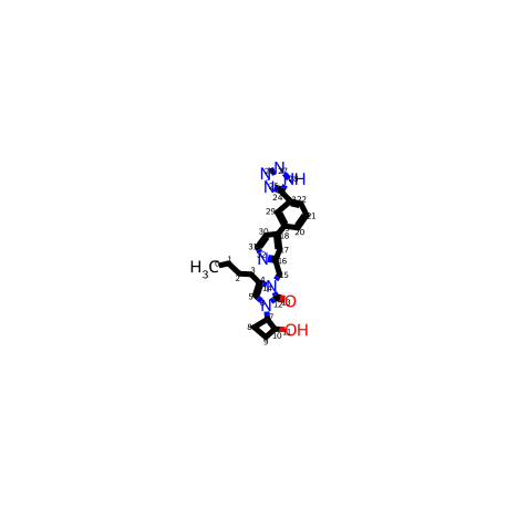 CCCCc1cn(C2CCC2O)c(=O)n1Cc1cc(-c2cccc(-c3nnn[nH]3)c2)ccn1